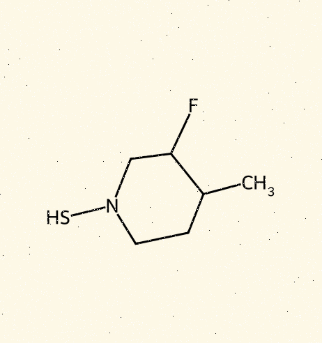 CC1CCN(S)CC1F